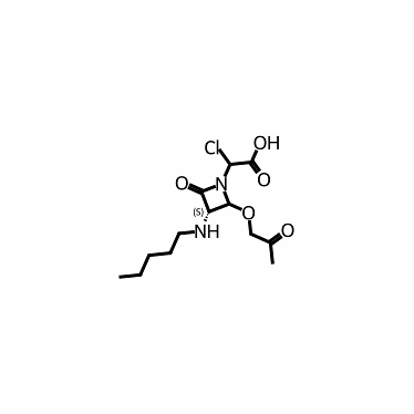 CCCCCN[C@@H]1C(=O)N(C(Cl)C(=O)O)C1OCC(C)=O